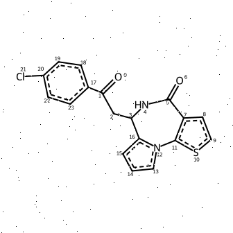 O=C(CC1NC(=O)c2ccsc2-n2cccc21)c1ccc(Cl)cc1